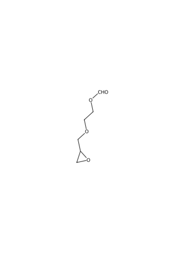 O=COCCOCC1CO1